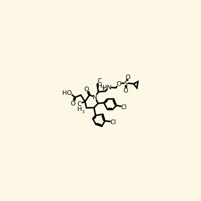 CCC(CNCOS(=O)(=O)C1CC1)N1C(=O)C(C)(CC(=O)O)CC(c2cccc(Cl)c2)C1c1ccc(Cl)cc1